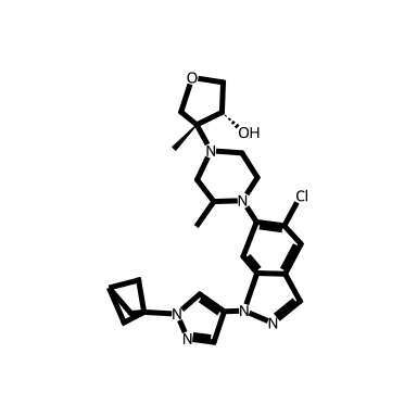 CC1CN([C@]2(C)COC[C@@H]2O)CCN1c1cc2c(cnn2-c2cnn(C34CC(C3)C4)c2)cc1Cl